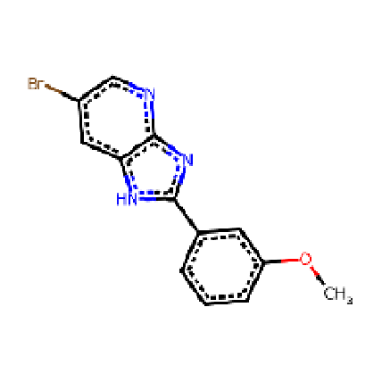 COc1cccc(-c2nc3ncc(Br)cc3[nH]2)c1